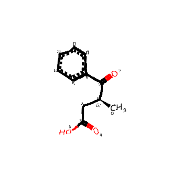 C[C@@H](CC(=O)O)C(=O)c1ccccc1